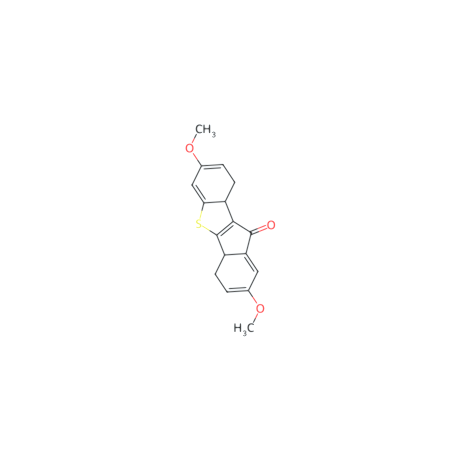 COC1=CCC2C(=C1)C(=O)C1=C2SC2=CC(OC)=CCC21